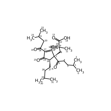 CC(C)CCC(=O)[C@@]1(CC(C)(C)C(=O)O)C(O)=C(C(=O)CC(C)C)C(=O)[C@@H]1CCC(C)C